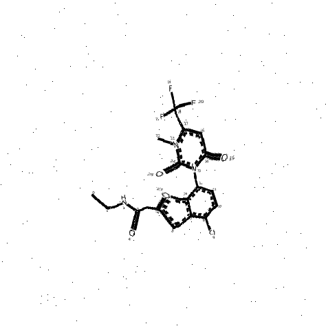 CCNC(=O)c1cc2c(Cl)ccc(-n3c(=O)cc(C(F)(F)F)n(C)c3=O)c2o1